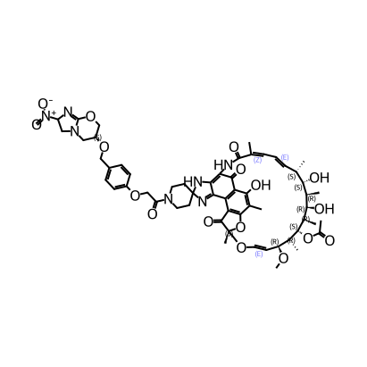 CO[C@H]1/C=C/O[C@@]2(C)Oc3c(C)c(O)c4c(c3C2=O)C2=NC3(CCN(C(=O)COc5ccc(CO[C@@H]6COC7=NC([N+](=O)[O-])CN7C6)cc5)CC3)NC2=C(NC(=O)/C(C)=C\C=C\[C@H](C)[C@H](O)[C@@H](C)[C@@H](O)[C@@H](C)[C@H](OC(C)=O)[C@@H]1C)C4=O